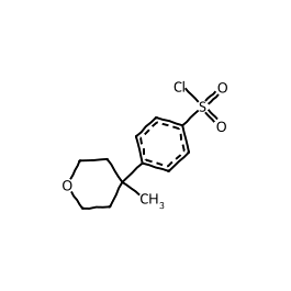 CC1(c2ccc(S(=O)(=O)Cl)cc2)CCOCC1